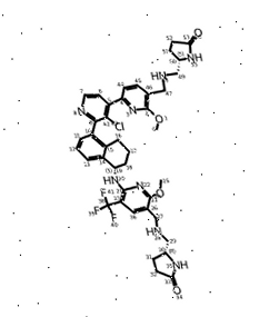 COc1nc(-c2ccnc(-c3cccc4c3CCC[C@@H]4Nc3nc(OC)c(CNC[C@H]4CCC(=O)N4)cc3C(F)(F)F)c2Cl)ccc1CNC[C@@H]1CCC(=O)N1